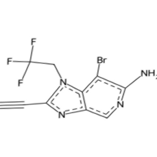 N#Cc1nc2cnc(N)c(Br)c2n1CC(F)(F)F